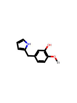 CCOc1ccc(Cc2ccc[nH]2)cc1O